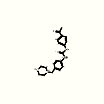 CC(=O)c1ccc(NC(=O)Nc2ccc(CN3CCOCC3)cc2)cc1